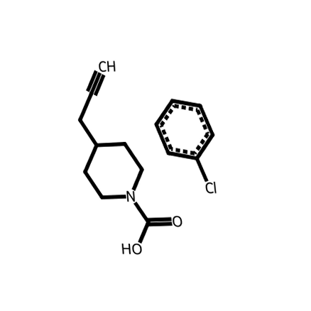 C#CCC1CCN(C(=O)O)CC1.Clc1ccccc1